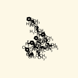 CC(C)(C)c1cc(NC(=O)C(C)(C)S(=O)(=O)c2cccc(C(F)(F)F)c2)no1.CC(C)(C)c1cc(NC(=O)C(C)(C)S(=O)(=O)c2ccccc2)no1.CC(C)(C)c1csc(NC(=O)C(C)(C)S(=O)(=O)c2cccc(C(F)(F)F)c2)n1.CC(C)(C)c1csc(NC(=O)C(C)(C)S(=O)(=O)c2ccccc2)n1.O=C(O)C1(S(=O)(=O)c2ccc(Cl)cc2)CCC1